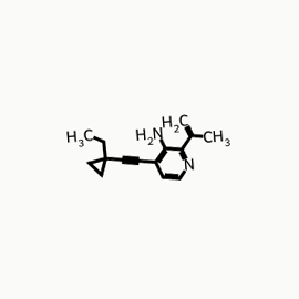 C=C(C)c1nccc(C#CC2(CC)CC2)c1N